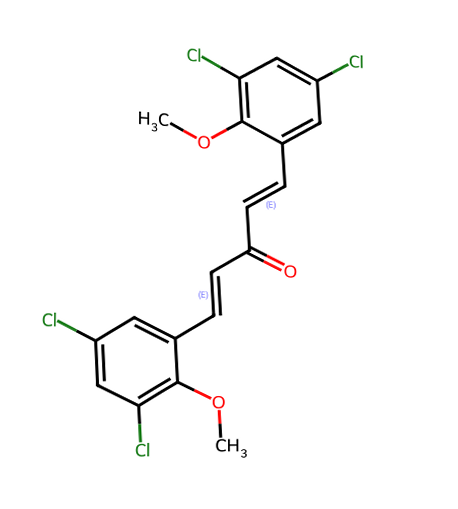 COc1c(Cl)cc(Cl)cc1/C=C/C(=O)/C=C/c1cc(Cl)cc(Cl)c1OC